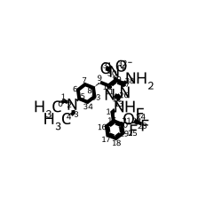 CCN(CC)[C@H]1CC[C@H](Cc2nc(NCc3ccccc3OC(F)(F)F)nc(N)c2[N+](=O)[O-])CC1